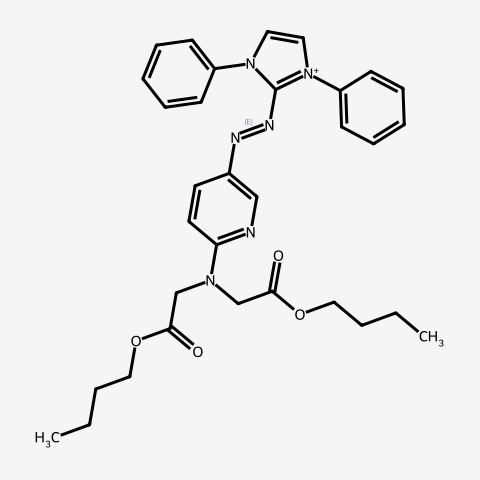 CCCCOC(=O)CN(CC(=O)OCCCC)c1ccc(/N=N/c2n(-c3ccccc3)cc[n+]2-c2ccccc2)cn1